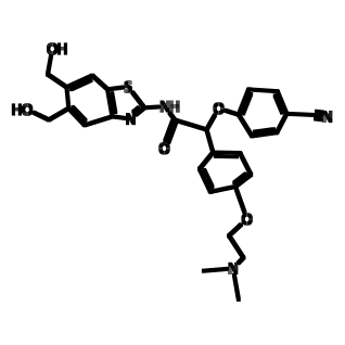 CN(C)CCOc1ccc(C(Oc2ccc(C#N)cc2)C(=O)Nc2nc3cc(CO)c(CO)cc3s2)cc1